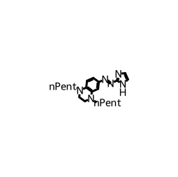 CCCCCN1CCN(CCCCC)c2cc(N=Nc3ncc[nH]3)ccc21